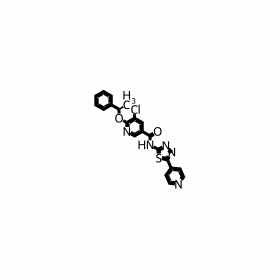 C[C@@H](Oc1ncc(C(=O)Nc2nnc(-c3ccncc3)s2)cc1Cl)c1ccccc1